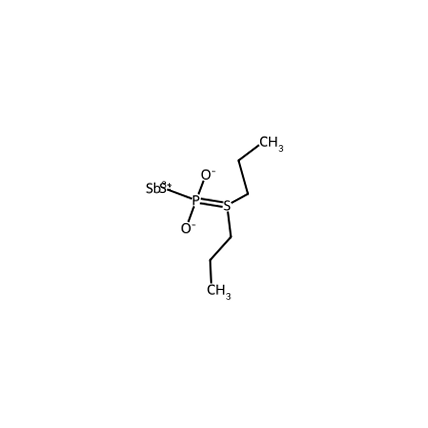 CCCS(CCC)=P([O-])([O-])[S-].[Sb+3]